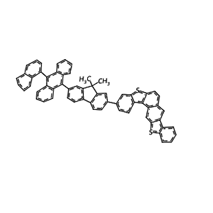 CC1(C)c2cc(-c3ccc4c(c3)sc3ccc5cc6c(cc5c34)sc3ccccc36)ccc2-c2ccc(-c3c4ccccc4c(-c4cccc5ccccc45)c4ccccc34)cc21